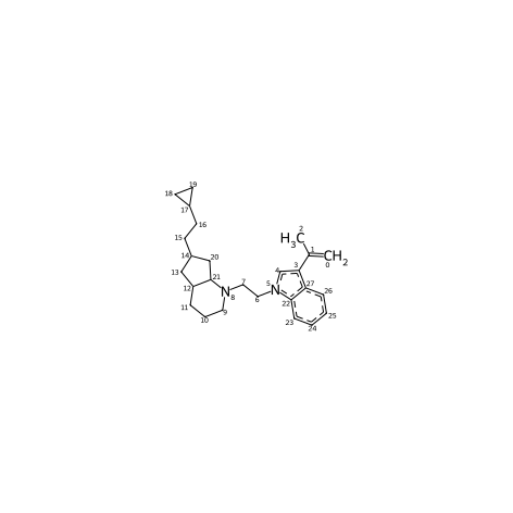 C=C(C)c1cn(CCN2CCCC3CC(CCC4CC4)CC32)c2ccccc12